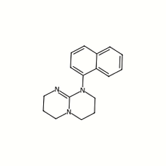 c1ccc2c(N3CCCN4CCCN=C43)cccc2c1